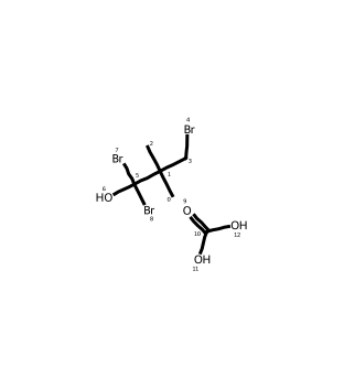 CC(C)(CBr)C(O)(Br)Br.O=C(O)O